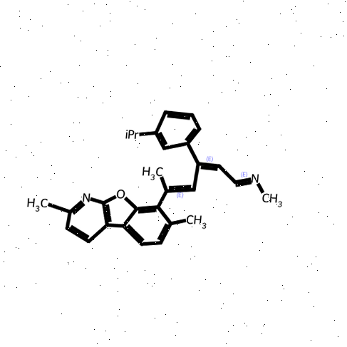 C/N=C/C=C(\C=C(/C)c1c(C)ccc2c1oc1nc(C)ccc12)c1cccc(C(C)C)c1